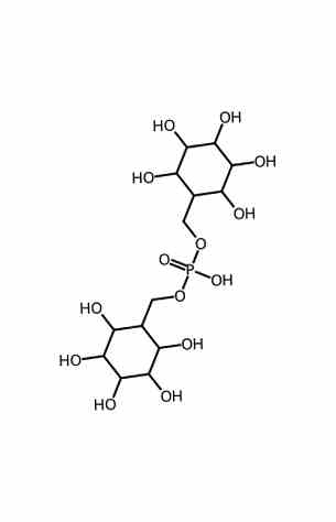 O=P(O)(OCC1C(O)C(O)C(O)C(O)C1O)OCC1C(O)C(O)C(O)C(O)C1O